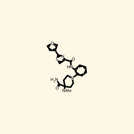 CNC1(C(N)=O)CCN(c2ccccc2NC(=O)c2csc(-c3ccoc3)n2)CC1